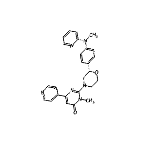 CN(c1ccc([C@H]2CN(c3nc(-c4ccncc4)cc(=O)n3C)CCO2)cc1)c1ccccn1